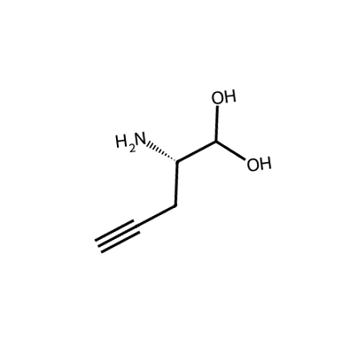 C#CC[C@H](N)C(O)O